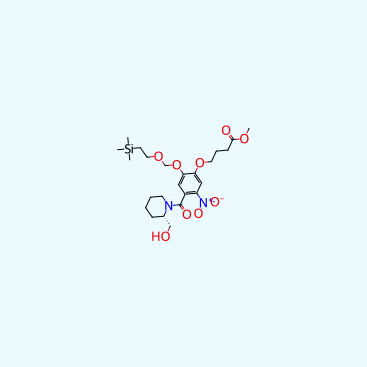 COC(=O)CCCOc1cc([N+](=O)[O-])c(C(=O)N2CCCC[C@H]2CO)cc1OCOCC[Si](C)(C)C